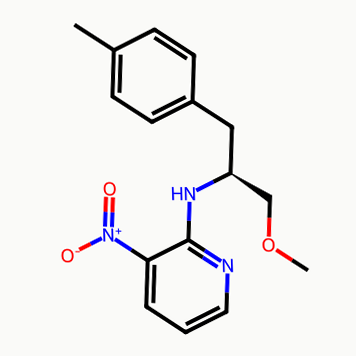 COC[C@H](Cc1ccc(C)cc1)Nc1ncccc1[N+](=O)[O-]